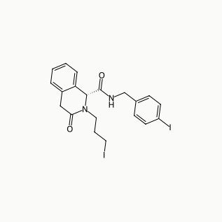 O=C(NCc1ccc(I)cc1)[C@H]1c2ccccc2CC(=O)N1CCCI